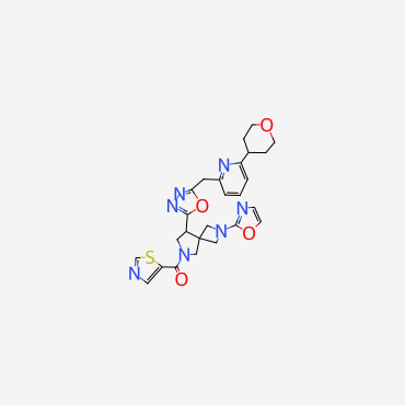 O=C(c1cncs1)N1CC(c2nnc(Cc3cccc(C4CCOCC4)n3)o2)C2(C1)CN(c1ncco1)C2